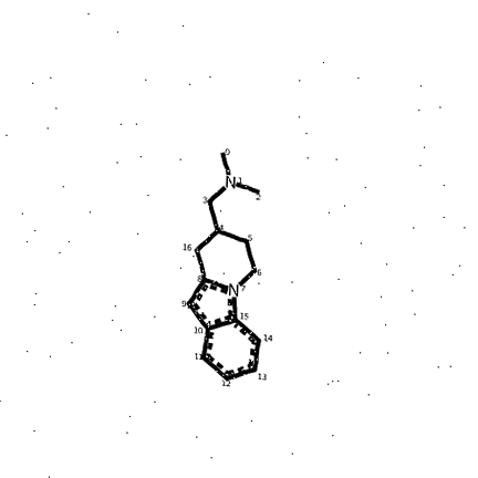 CN(C)CC1CCn2c([c]c3ccccc32)C1